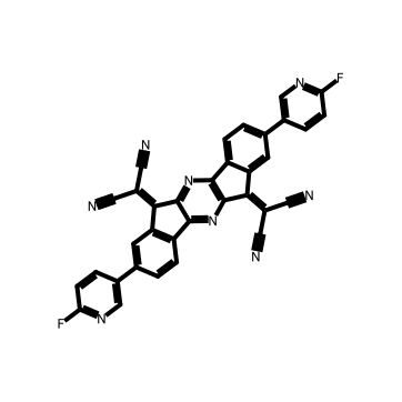 N#CC(C#N)=C1c2cc(-c3ccc(F)nc3)ccc2-c2nc3c(nc21)-c1ccc(-c2ccc(F)nc2)cc1C3=C(C#N)C#N